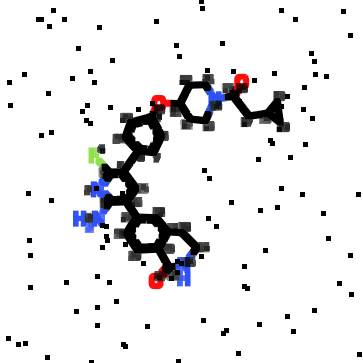 Nc1nc(F)c(-c2ccc(OC3CCN(C(=O)CC4CC4)CC3)cc2)cc1-c1ccc2c(c1)CCNC2=O